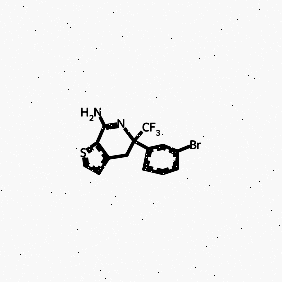 NC1=NC(c2cccc(Br)c2)(C(F)(F)F)Cc2ccsc21